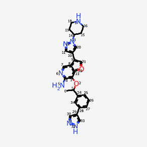 CC(Oc1c(N)ncc2c(-c3cnn(C4CCNCC4)c3)coc12)c1cccc(-c2cn[nH]c2)c1